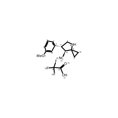 COc1cccc([C@@H]2CNC3(CC3)[C@H]2C#N)c1.O=C(O)C(F)(F)F